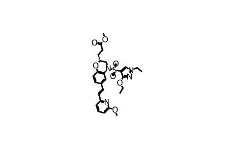 CCOc1nn(CC)cc1S(=O)(=O)N1C[C@H](CCC(=O)OC)Oc2ccc(/C=C/c3cccc(OC)n3)cc21